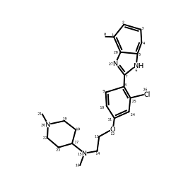 Cc1cccc2[nH]c(-c3ccc(OCCN(C)C4CCN(C)CC4)cc3Cl)nc12